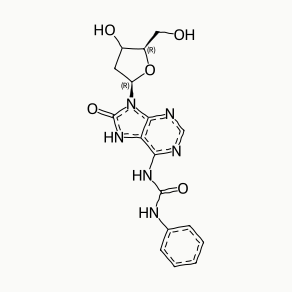 O=C(Nc1ccccc1)Nc1ncnc2c1[nH]c(=O)n2[C@H]1CC(O)[C@@H](CO)O1